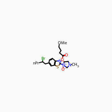 CCCC(Br)Cc1ccc2nc([N+]3([O-])CN(C)CC3OC(=O)CCCOC)sc2c1